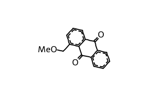 COCc1cccc2c1C(=O)c1ccccc1C2=O